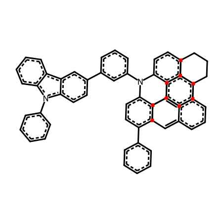 C1=c2cccc(C3CCCCC3)c2=C(c2ccccc2N(c2cccc(-c3ccc4c(c3)c3ccccc3n4-c3ccccc3)c2)c2ccc(-c3ccccc3)cc2-c2ccccc2)CC1